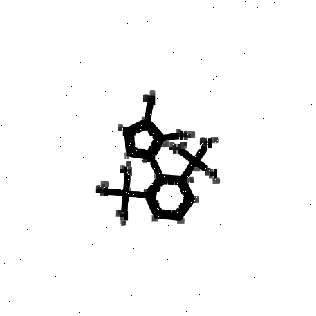 [2H]c1ncn(-c2c(C([2H])([2H])[2H])cccc2C([2H])([2H])[2H])c1[2H]